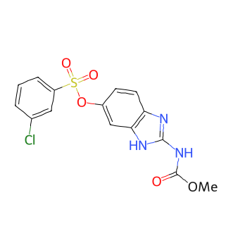 COC(=O)Nc1nc2ccc(OS(=O)(=O)c3cccc(Cl)c3)cc2[nH]1